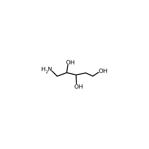 NCC(O)C(O)CCO